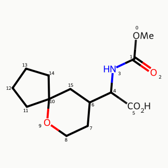 COC(=O)NC(C(=O)O)C1CCOC2(CCCC2)C1